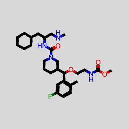 CNCC(CC1CCCCC1)NC(=O)N1CCCC(C(OCCNC(=O)OC)c2cc(F)ccc2C)C1